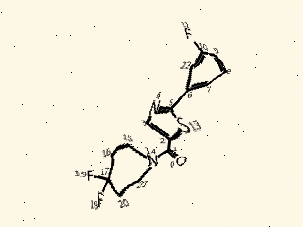 O=C(c1cnc(-c2cccc(F)c2)s1)N1CCC(F)(F)CC1